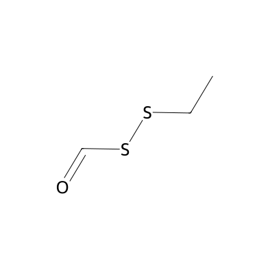 CCSSC=O